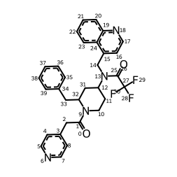 O=C(Cc1ccncc1)N1CCC(N(Cc2ccnc3ccccc23)C(=O)C(F)(F)F)CC1Cc1ccccc1